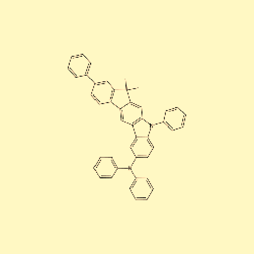 CC1(C)c2cc(-c3ccccc3)ccc2-c2cc3c4cc(N(c5ccccc5)c5ccccc5)ccc4n(-c4ccccc4)c3cc21